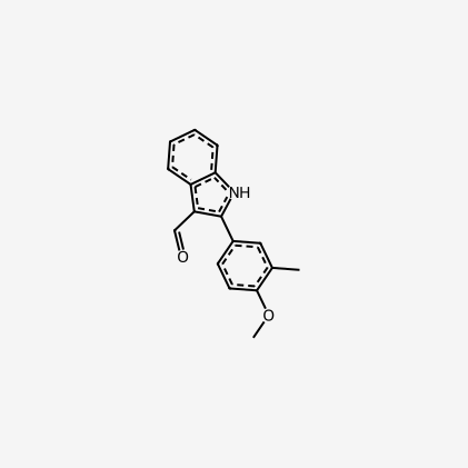 COc1ccc(-c2[nH]c3ccccc3c2C=O)cc1C